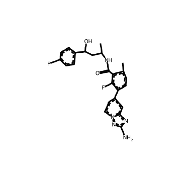 Cc1ccc(-c2ccn3nc(N)nc3c2)c(F)c1C(=O)NC(C)CC(O)c1ccc(F)cc1